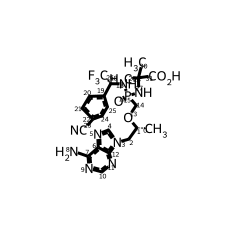 C[C@H](Cn1cnc2c(N)ncnc21)OCP(=O)(N[C@H](c1ccc(C#N)cc1)C(F)(F)F)NC(C)(C)C(=O)O